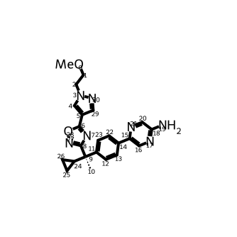 COCCn1cc(-c2nc([C@@](C)(c3ccc(-c4cnc(N)cn4)cc3)C3CC3)no2)cn1